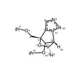 [3H][C@@H]1O[C@]2(COC(C)C)c3cnnn3[C@H]1C2OC(C)C